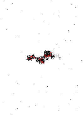 COc1cc2c(cc1OCCCCCOc1cc3c(cc1OC)C(=O)N1C=C(C)CC1C(O)N3C(=O)OCc1ccc(NC(=O)[C@H](CCCNC(N)=O)NC(=O)[C@@H](NC(C)C)C(C)C)cc1)N=CC1CC(C)=CN1C2=O